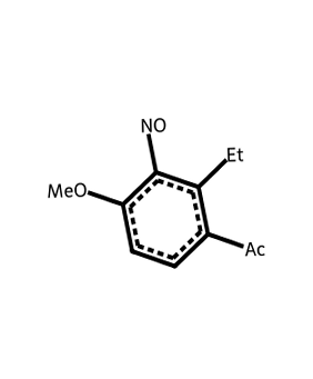 CCc1c(C(C)=O)ccc(OC)c1N=O